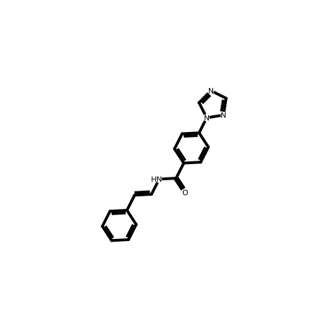 O=C(NC=Cc1ccccc1)c1ccc(-n2cncn2)cc1